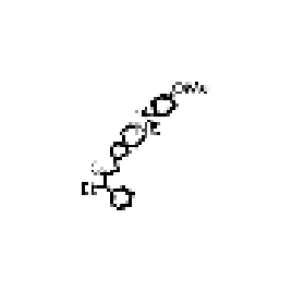 CCC(C(=O)CC1CCC2(CCN(S(=O)(=O)c3ccc(OC)cc3)CC2)C1)c1ccccc1